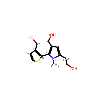 Cn1c([Se]CO)cc(CO)c1-c1sccc1CO